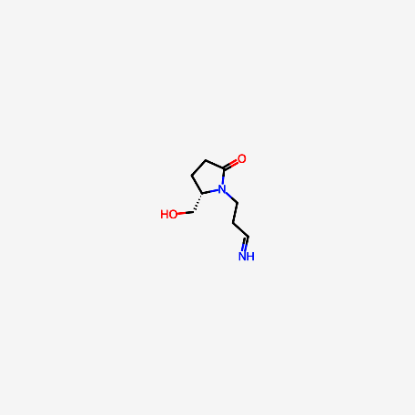 N=CCCN1C(=O)CC[C@H]1CO